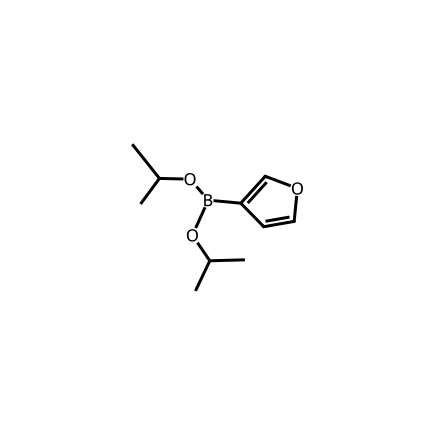 CC(C)OB(OC(C)C)c1ccoc1